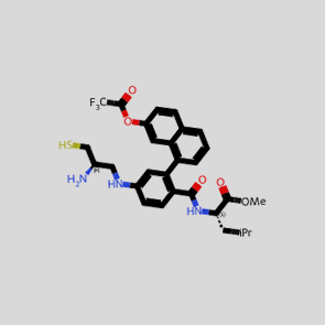 COC(=O)[C@H](CC(C)C)NC(=O)c1ccc(NC[C@@H](N)CS)cc1-c1cccc2ccc(OC(=O)C(F)(F)F)cc12